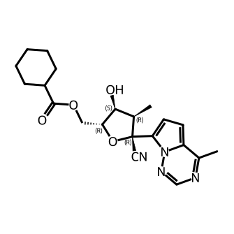 Cc1ncnn2c([C@]3(C#N)O[C@H](COC(=O)C4CCCCC4)[C@@H](O)[C@H]3C)ccc12